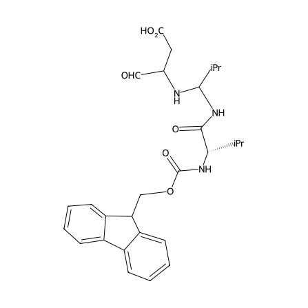 CC(C)C(NC(=O)[C@@H](NC(=O)OCC1c2ccccc2-c2ccccc21)C(C)C)NC(C=O)CC(=O)O